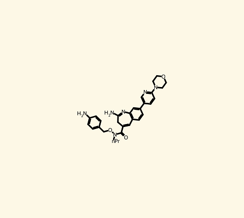 CCCN(OCc1ccc(N)cc1)C(=O)C1=Cc2ccc(-c3ccc(N4CCOCC4)nc3)cc2N=C(N)C1